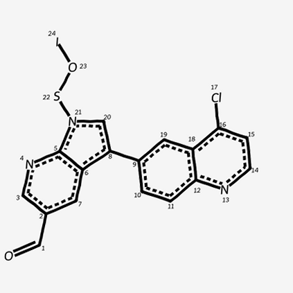 O=Cc1cnc2c(c1)c(-c1ccc3nccc(Cl)c3c1)cn2SOI